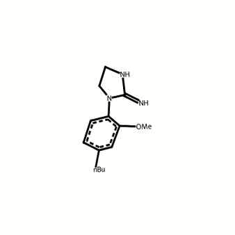 CCCCc1ccc(N2CCNC2=N)c(OC)c1